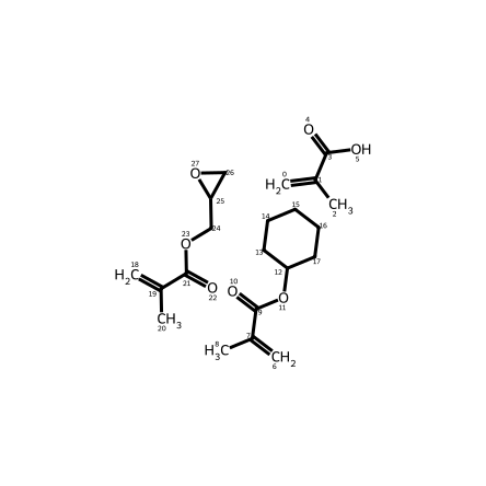 C=C(C)C(=O)O.C=C(C)C(=O)OC1CCCCC1.C=C(C)C(=O)OCC1CO1